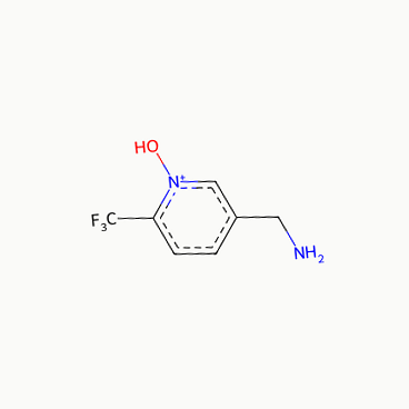 NCc1ccc(C(F)(F)F)[n+](O)c1